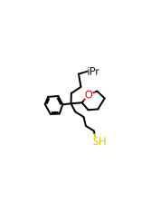 CC(C)CCCC(CCCCS)(c1ccccc1)C1CCCCO1